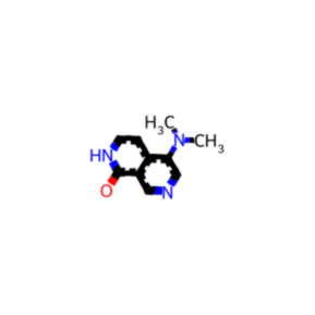 CN(C)c1cncc2c(=O)[nH]ccc12